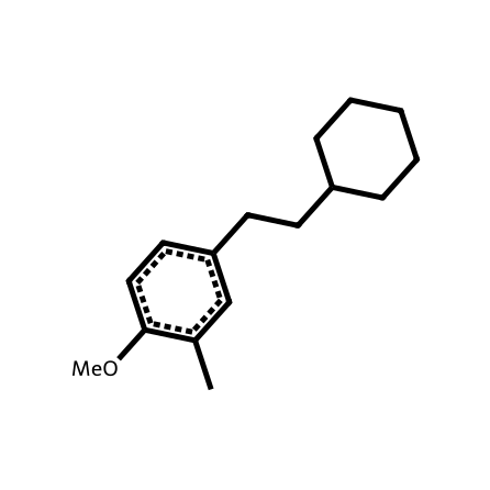 COc1ccc(CCC2CCCCC2)cc1C